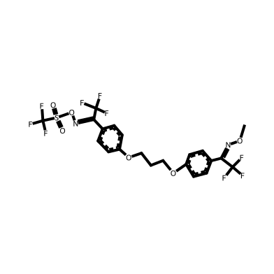 CON=C(c1ccc(OCCCOc2ccc(C(=NOS(=O)(=O)C(F)(F)F)C(F)(F)F)cc2)cc1)C(F)(F)F